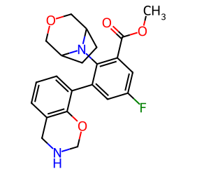 COC(=O)c1cc(F)cc(-c2cccc3c2OCNC3)c1N1C2CCC1COC2